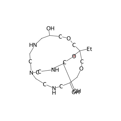 CCC12COCC(O)CNCCN(CCNCC(O)COC1)CCNCC(O)COC2